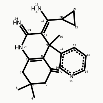 C=C1CC(C)(C)CC2=C1C(C)(c1cccnc1)/C(=C(/N)C1CC1)C(=N)N2